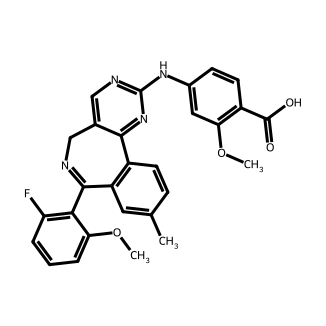 COc1cc(Nc2ncc3c(n2)-c2ccc(C)cc2C(c2c(F)cccc2OC)=NC3)ccc1C(=O)O